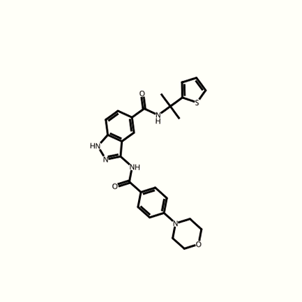 CC(C)(NC(=O)c1ccc2[nH]nc(NC(=O)c3ccc(N4CCOCC4)cc3)c2c1)c1cccs1